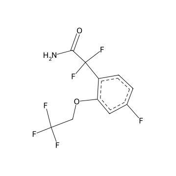 NC(=O)C(F)(F)c1ccc(F)cc1OCC(F)(F)F